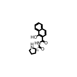 O=C(NC(=O)[C@@H]1CCCN1)c1ccc2ccccc2c1O